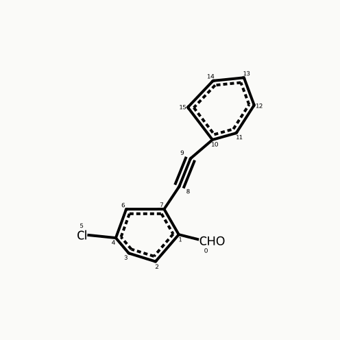 O=Cc1ccc(Cl)cc1C#Cc1ccccc1